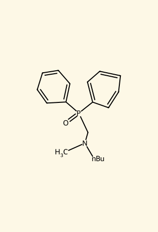 CCCCN(C)CP(=O)(c1ccccc1)c1ccccc1